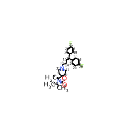 C=C1N(C(C)C)C(=O)OC12CCN(CCC=C(c1ccc(F)cc1)c1ccc(F)cc1)CC2